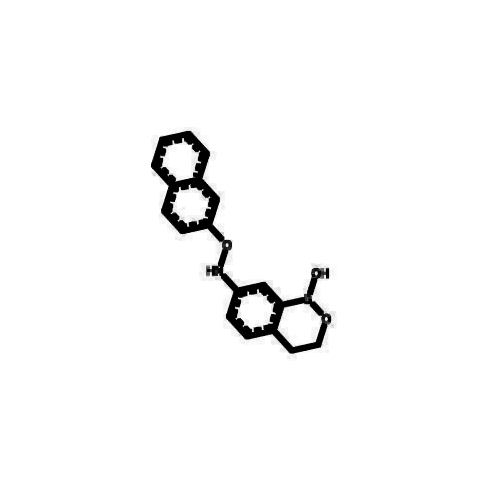 OB1OCCc2ccc(NOc3ccc4ccccc4c3)cc21